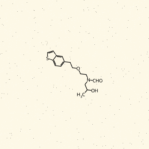 CC(O)CN(C=O)CCOCCc1ccc2sccc2c1